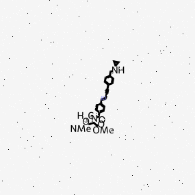 CNC(=O)C(C(=O)OC)N(C)C(=O)c1ccc(/C=C/C#Cc2ccc(CNC3CC3)cc2)cc1